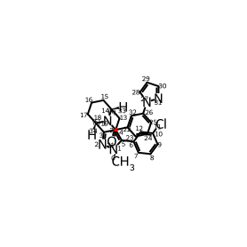 Cn1nc2c(c1-c1cccc(Cl)c1)C[C@H]1CCC[C@@H]2N1C(=O)c1cccc(-n2cccn2)c1